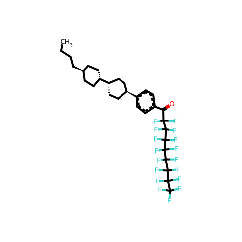 CCCC[C@H]1CC[C@H]([C@H]2CC[C@H](c3ccc(C(=O)C(F)(F)C(F)(F)C(F)(F)C(F)(F)C(F)(F)C(F)(F)C(F)(F)C(F)(F)F)cc3)CC2)CC1